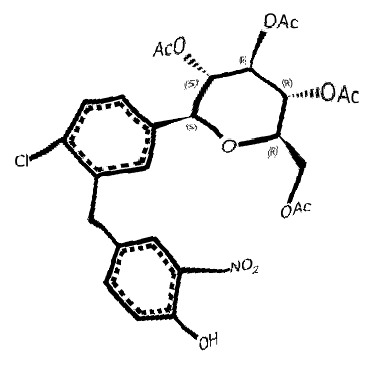 CC(=O)OC[C@H]1O[C@@H](c2ccc(Cl)c(Cc3ccc(O)c([N+](=O)[O-])c3)c2)[C@H](OC(C)=O)[C@@H](OC(C)=O)[C@@H]1OC(C)=O